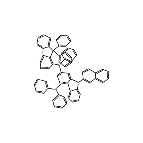 c1ccc(N(c2cc(N(c3ccccc3)c3ccccc3)c3c4ccccc4n(-c4ccc5ccccc5c4)c3c2)c2cccc3c2C(c2ccccc2)(c2ccccc2)c2ccccc2-3)cc1